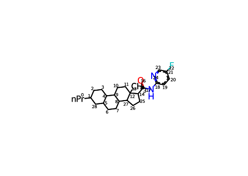 CCCC1CCC2C(CCC3C2CCC2(C)C(C(=O)Nc4ccc(F)cn4)CCC32)C1